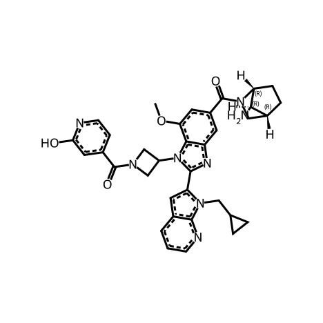 COc1cc(C(=O)N2C[C@H]3CC[C@@H]2[C@@H]3N)cc2nc(-c3cc4cccnc4n3CC3CC3)n(C3CN(C(=O)c4ccnc(O)c4)C3)c12